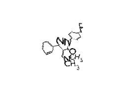 CN(C)C=C1C(=O)N(c2ccc(F)cc2)N=C1c1ccccc1